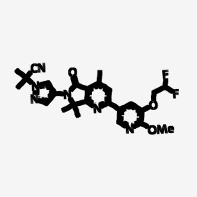 COc1ncc(-c2cc(C)c3c(n2)C(C)(C)N(c2cnn(C(C)(C)C#N)c2)C3=O)cc1OCC(F)F